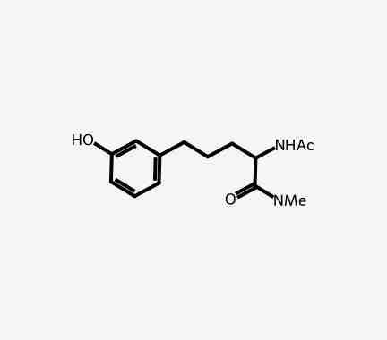 CNC(=O)C(CCCc1cccc(O)c1)NC(C)=O